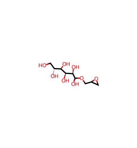 OC[C@@H](O)[C@@H](O)[C@H](O)[C@@H](O)C(O)OCC1CO1